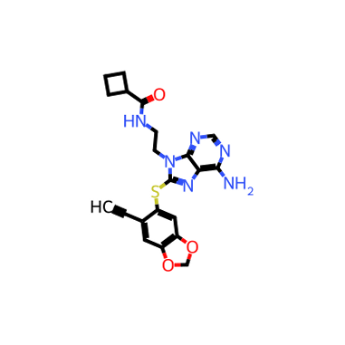 C#Cc1cc2c(cc1Sc1nc3c(N)ncnc3n1CCNC(=O)C1CCC1)OCO2